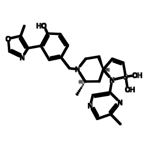 Cc1cncc(N2[C@]3(C=CS2(O)O)CCN(Cc2ccc(O)c(-c4ncoc4C)c2)[C@@H](C)C3)n1